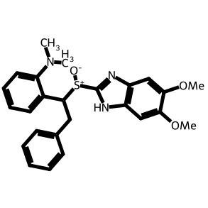 COc1cc2nc([S+]([O-])C(Cc3ccccc3)c3ccccc3N(C)C)[nH]c2cc1OC